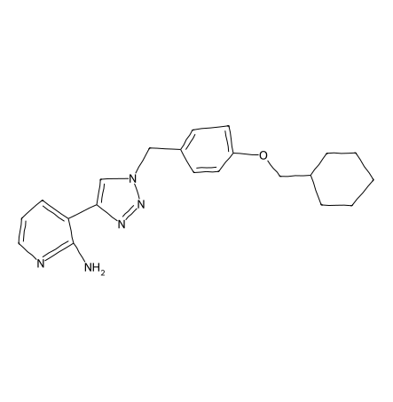 Nc1ncccc1-c1cn(Cc2ccc(OCC3CCCCC3)cc2)nn1